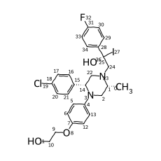 C[C@@H]1CN(c2ccc(OCCO)cc2)[C@H](c2ccc(Cl)cc2)CN1C[C@](O)(I)c1ccc(F)cc1